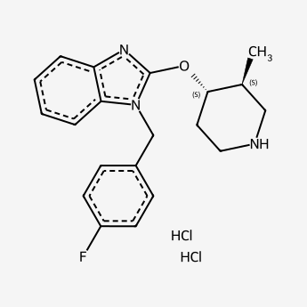 C[C@H]1CNCC[C@@H]1Oc1nc2ccccc2n1Cc1ccc(F)cc1.Cl.Cl